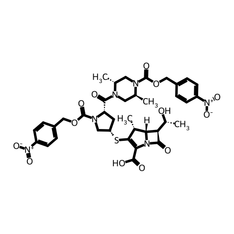 C[C@@H]1CN(C(=O)OCc2ccc([N+](=O)[O-])cc2)[C@@H](C)CN1C(=O)[C@@H]1C[C@H](SC2=C(C(=O)O)N3C(=O)[C@H]([C@@H](C)O)[C@H]3[C@H]2C)CN1C(=O)OCc1ccc([N+](=O)[O-])cc1